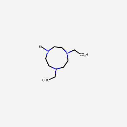 CCN1CCN(CC=O)CCN(CC(=O)O)CC1